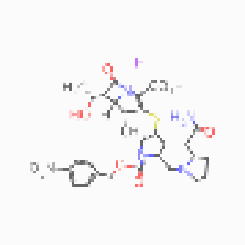 C[C@@H](O)[C@H]1C(=O)N2C(C(=O)O)=C(S[C@H]3C[C@@H](CN4CCCC4CC(N)=O)N(C(=O)OCc4ccc([N+](=O)[O-])cc4)C3)[C@H](C)[C@H]12.I